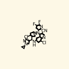 N#Cc1cnc2c(Cl)cc(N[C@H](c3cn(C4CC4)nn3)c3cnccc3Cl)cc2c1Nc1cnc(F)c(F)c1